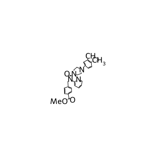 COC(=O)c1ccc(CN(C(=O)N2CCN(c3ccc(C)c(C)c3)CC2)c2ccccn2)cc1